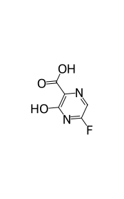 O=C(O)c1ncc(F)nc1O